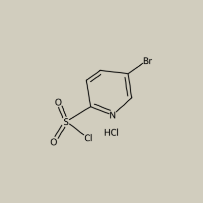 Cl.O=S(=O)(Cl)c1ccc(Br)cn1